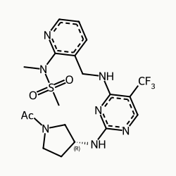 CC(=O)N1CC[C@@H](Nc2ncc(C(F)(F)F)c(NCc3cccnc3N(C)S(C)(=O)=O)n2)C1